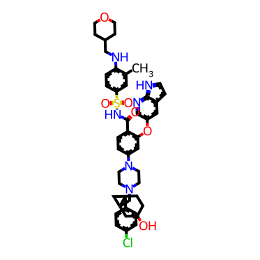 Cc1cc(S(=O)(=O)NC(=O)c2ccc(N3CCN(CC45CC(O)CCC4(c4ccc(Cl)cc4)C5)CC3)cc2Oc2cnc3[nH]ccc3c2)ccc1NCC1CCOCC1